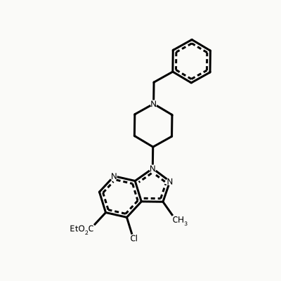 CCOC(=O)c1cnc2c(c(C)nn2C2CCN(Cc3ccccc3)CC2)c1Cl